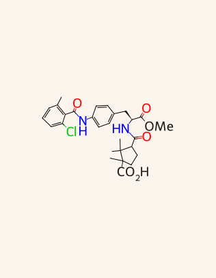 COC(=O)[C@H](Cc1ccc(NC(=O)c2c(C)cccc2Cl)cc1)NC(=O)C1CCC(C)(C(=O)O)C1(C)C